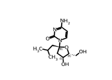 CC(C)C[C@]1(n2ccc(N)nc2=O)C[C@H](O)[C@@H](CO)O1